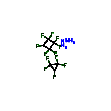 FC1C(F)(F)C(F)(F)C1(F)F.FC1C(F)(F)C1(F)F.N.N